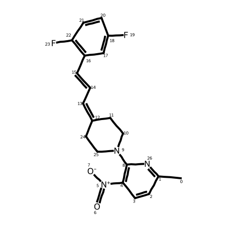 Cc1ccc([N+](=O)[O-])c(N2CCC(=C/C=C/c3cc(F)ccc3F)CC2)n1